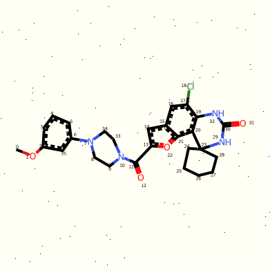 COc1cccc(N2CCN(C(=O)c3cc4cc(Cl)c5c(c4o3)C3(CCCCC3)NC(=O)N5)CC2)c1